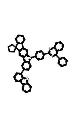 c1ccc(-c2nc(-c3ccc(-n4c5ccc(-c6cccc7c6oc6ccccc67)cc5c5cc6c(cc54)-c4ccccc4C64CCCC4)cc3)nc3ccccc23)cc1